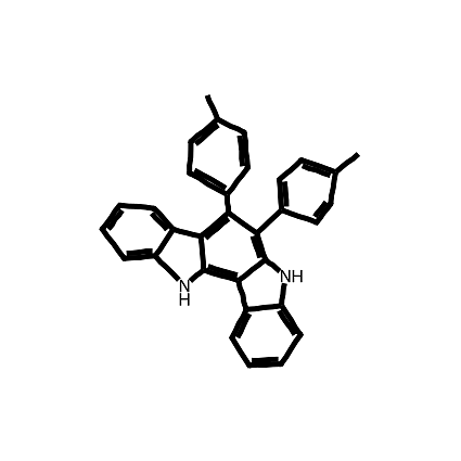 Cc1ccc(-c2c(-c3ccc(C)cc3)c3c4ccccc4[nH]c3c3c2[nH]c2ccccc23)cc1